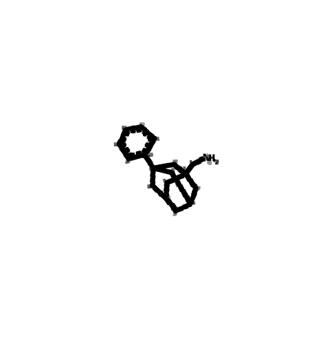 NCC12CC3CC(C1)CC(c1ccccc1)(C3)C2